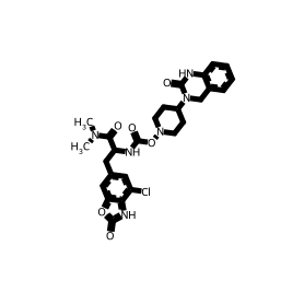 CN(C)C(=O)C(Cc1cc(Cl)c2[nH]c(=O)oc2c1)NC(=O)ON1CCC(N2Cc3ccccc3NC2=O)CC1